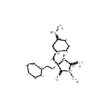 CN1C(=N)N[C@](CCC2CCCCC2)(C[C@@H]2CCCC(=NO)C2)C1=O